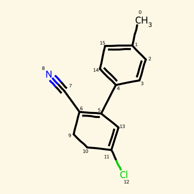 Cc1ccc(C2=C(C#N)CCC(Cl)=C2)cc1